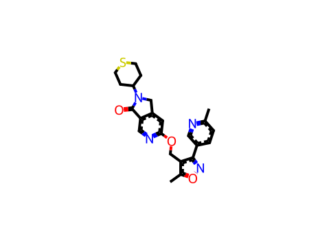 Cc1ccc(-c2noc(C)c2COc2cc3c(cn2)C(=O)N(C2CCSCC2)C3)cn1